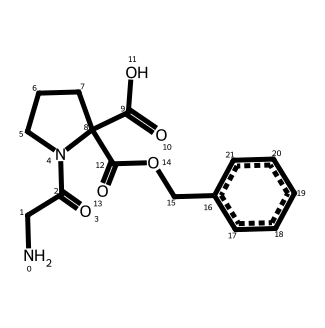 NCC(=O)N1CCCC1(C(=O)O)C(=O)OCc1ccccc1